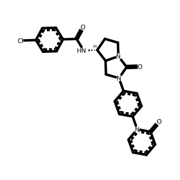 O=C(N[C@@H]1CCN2C(=O)N(c3ccc(-n4ccccc4=O)cc3)CC12)c1ccc(Cl)cc1